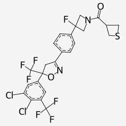 O=C(C1CSC1)N1CC(F)(c2ccc(C3=NOC(c4cc(Cl)c(Cl)c(C(F)(F)F)c4)(C(F)(F)F)C3)cc2)C1